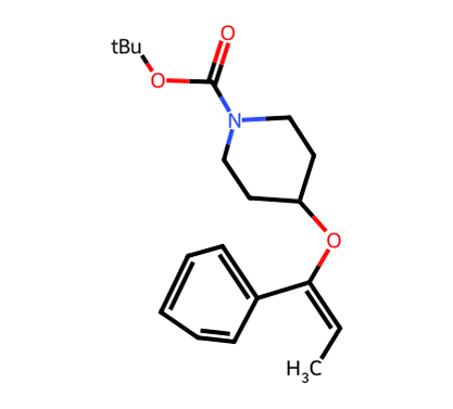 CC=C(OC1CCN(C(=O)OC(C)(C)C)CC1)c1ccccc1